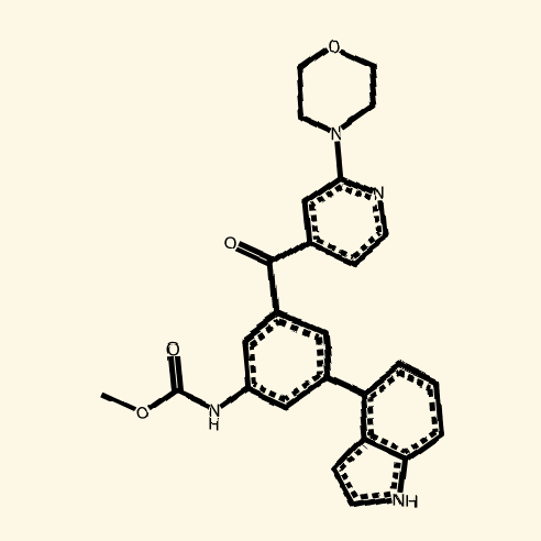 COC(=O)Nc1cc(C(=O)c2ccnc(N3CCOCC3)c2)cc(-c2cccc3[nH]ccc23)c1